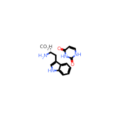 N[C@@H](Cc1c[nH]c2ccccc12)C(=O)O.O=c1cc[nH]c(=O)[nH]1